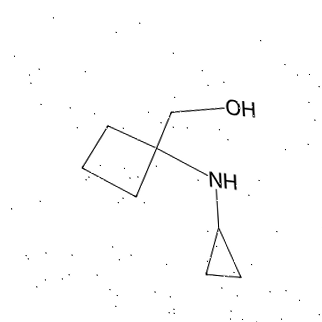 OCC1(NC2CC2)CCC1